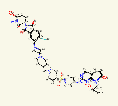 C[C@@]1(O)CCC[C@H]1n1c(=O)ccc2cnc(NC3CCN(S(=O)(=O)C4CCN(CC5CCN(C6CN(c7cc8c(cc7F)C(=O)N(C7CCC(=O)NC7=O)C8=O)C6)CC5)CC4)CC3)nc21